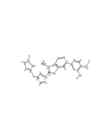 COc1cc(-c2ccc3c(n2)CN(c2cnn(Cc4csc(C)n4)c2)C3O)cnc1OC